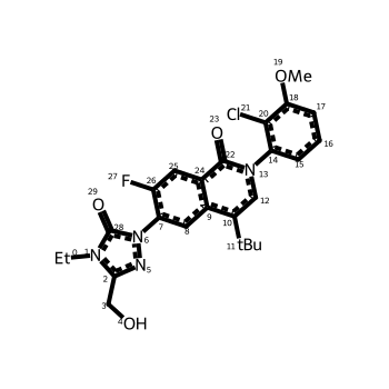 CCn1c(CO)nn(-c2cc3c(C(C)(C)C)cn(-c4cccc(OC)c4Cl)c(=O)c3cc2F)c1=O